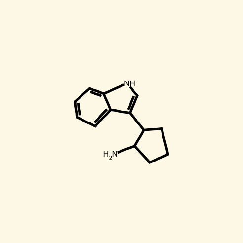 NC1CCCC1c1c[nH]c2ccccc12